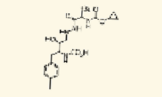 CC(C)(C)C(NC(=O)OC1CC1)C(=O)NNC[C@H](O)[C@H](Cc1ccc(I)cc1)NC(=O)O